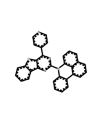 c1ccc2c(c1)-c1cccc3cccc(c13)N2c1nc(-c2ccncc2)c2oc3ccccc3c2n1